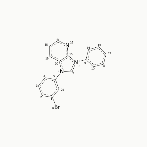 Brc1cccc(-n2c[n+](-c3ccccc3)c3ncccc32)c1